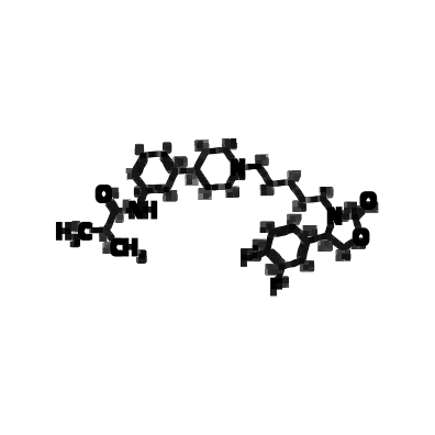 CC(C)C(=O)Nc1cccc(C2CCN(CCCCCN3C(=O)OCC3c3ccc(F)c(F)c3)CC2)c1